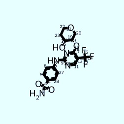 NS(=O)(=O)c1ccc(Nc2ncc(C(F)(F)F)c(O[C@H]3COCC[C@H]3O)n2)cc1